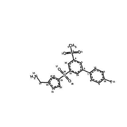 CS(=O)(=O)c1cc(-c2ccc(F)cc2)cc(S(=O)(=O)c2cnc(CN)s2)c1